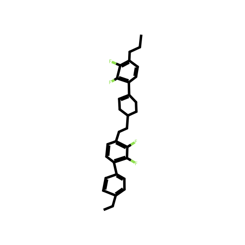 CCCc1ccc(C2=CCC(CCc3ccc(-c4ccc(CC)cc4)c(F)c3F)CC2)c(F)c1F